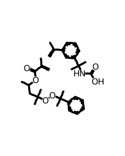 C=C(C)C(=O)OC(C)CC(C)(C)OOC(C)(C)c1ccccc1.C=C(C)c1cccc(C(C)(C)NC(=O)O)c1